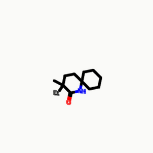 CCC1(C)CCC2(CCCCC2)NC1=O